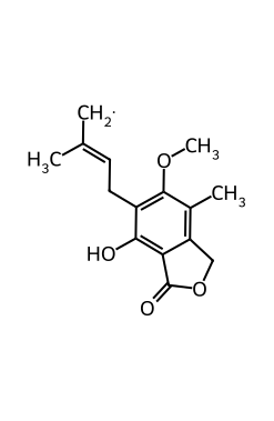 [CH2]C(C)=CCc1c(O)c2c(c(C)c1OC)COC2=O